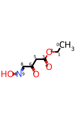 CCOC(=O)CC(=O)C=NO